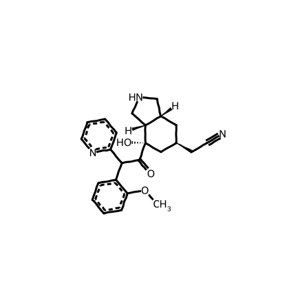 COc1ccccc1C(C(=O)[C@]1(O)C[C@H](CC#N)C[C@H]2CNC[C@H]21)c1ccccn1